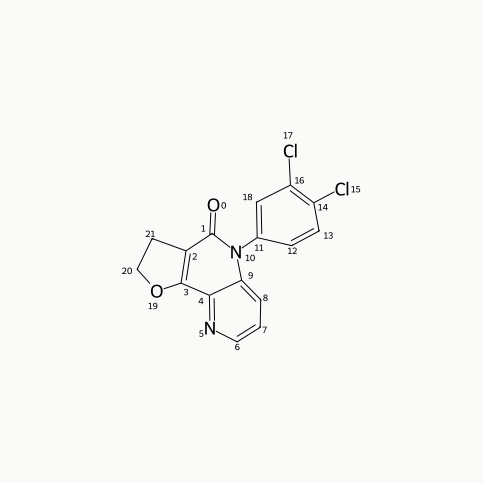 O=c1c2c(c3ncccc3n1-c1ccc(Cl)c(Cl)c1)OCC2